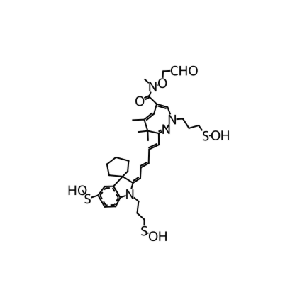 C/C1=C\C(C(=O)N(C)OCC=O)=C/N(CCCSO)/N=C(/C=C/C=C/C=C2/N(CCCSO)c3ccc(SO)cc3C23CCCCC3)C1(C)C